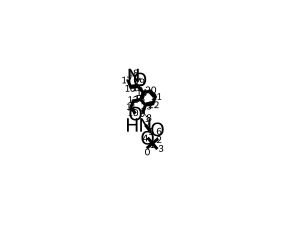 CC(C)(C)OC(=O)NC[C@@H]1OCCc2c(-c3ccno3)cccc21